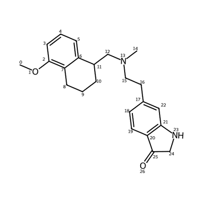 COc1cccc2c1CCCC2CN(C)CCc1ccc2c(c1)NCC2=O